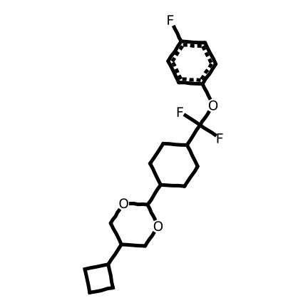 Fc1ccc(OC(F)(F)C2CCC(C3OCC(C4CCC4)CO3)CC2)cc1